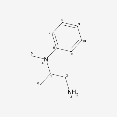 CC(CN)N(C)c1ccccc1